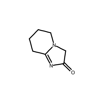 O=C1CN2CCCCC2=N1